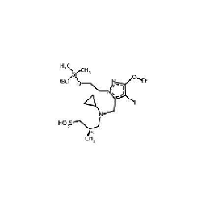 CCOc1nn(CCO[Si](C)(C)C(C)(C)C)c(CN(C[C@@H](C)CS(=O)(=O)O)C2CC2)c1I